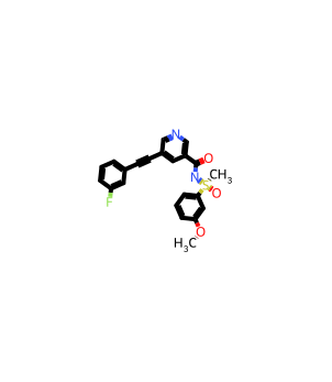 COc1cccc(S(C)(=O)=NC(=O)c2cncc(C#Cc3cccc(F)c3)c2)c1